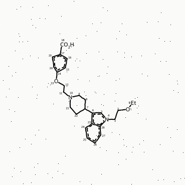 CCOCCn1cc(C2CCN(CCOc3ccc(C(=O)O)cc3)CC2)c2ccccc21